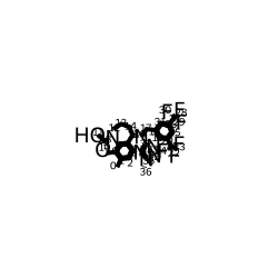 Cc1ccc2c(c1C)N(C(=O)O)CCCC2N(Cc1cc(C(F)(F)F)cc(C(F)(F)F)c1)c1nnn(C)n1